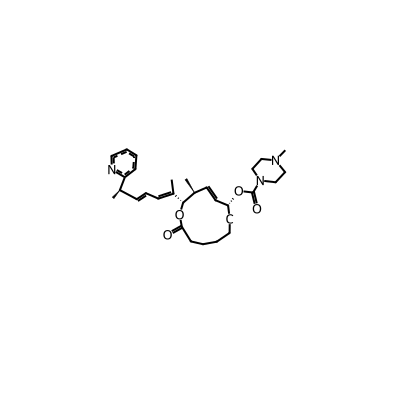 C/C(=C\C=C\[C@@H](C)c1ccccn1)[C@H]1OC(=O)CCCCC[C@@H](OC(=O)N2CCN(C)CC2)/C=C/[C@@H]1C